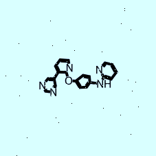 c1ccc(Nc2ccc(Oc3ncccc3-c3cncnc3)cc2)nc1